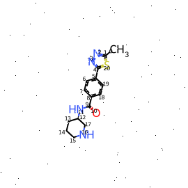 Cc1nnc(-c2ccc(C(=O)N[C@@H]3CCCNC3)cc2)s1